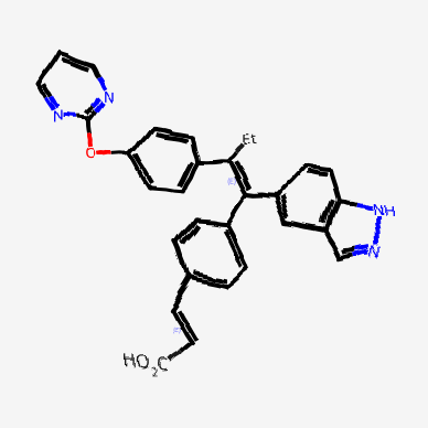 CC/C(=C(/c1ccc(/C=C/C(=O)O)cc1)c1ccc2[nH]ncc2c1)c1ccc(Oc2ncccn2)cc1